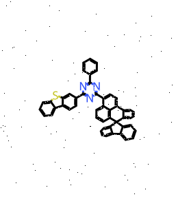 c1ccc(-c2nc(-c3ccc4c(c3)sc3ccccc34)nc(-c3ccc4c5c(cccc35)C3(c5ccccc5-c5ccccc53)c3ccccc3-4)n2)cc1